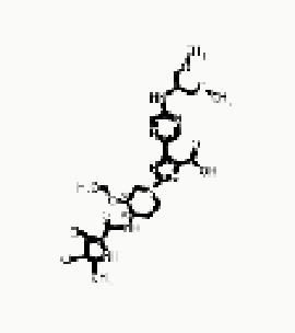 CCO[C@H]1CN(c2nc(-c3cnc(NC(COC)COC)cn3)c(C(=O)O)s2)CC[C@H]1NC(=O)c1[nH]c(C)c(Cl)c1Cl